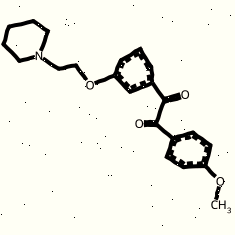 COc1ccc(C(=O)C(=O)c2cccc(OCCN3CCCCC3)c2)cc1